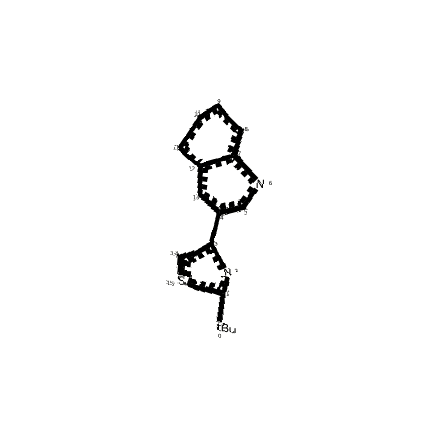 CC(C)(C)c1nc(-c2cnc3ccccc3c2)cs1